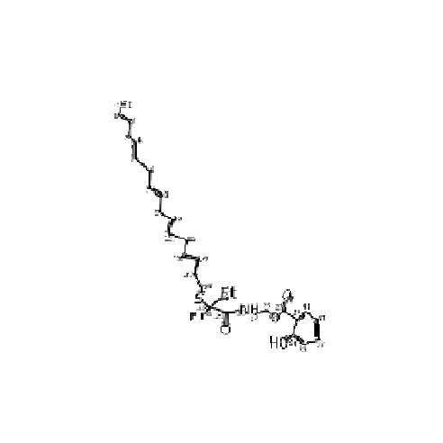 CCC=CCC=CCC=CCC=CCC=CCCSC(CC)(CC)C(=O)NCCOC(=O)c1ccccc1O